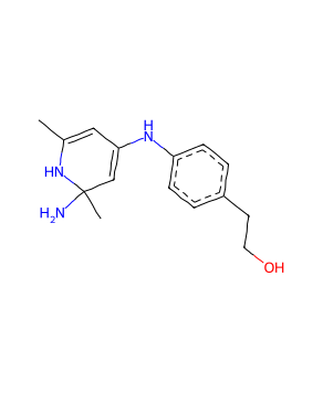 CC1=CC(Nc2ccc(CCO)cc2)=CC(C)(N)N1